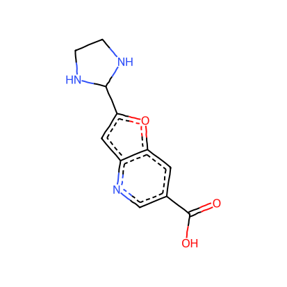 O=C(O)c1cnc2cc(C3NCCN3)oc2c1